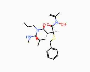 C=C(C)N(O)C(=O)[C@@](C)(SCc1ccccc1)[C@H](CC(C)C)C(=O)N(CCC)C(=O)NC